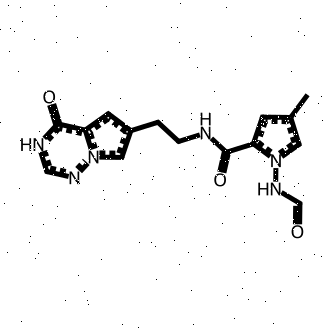 Cc1cc(C(=O)NCCc2cc3c(=O)[nH]cnn3c2)n(NC=O)c1